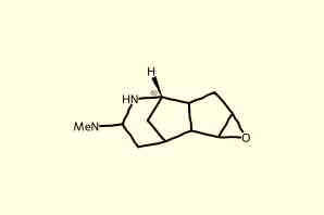 CNC1CC2C[C@H](N1)C1CC3OC3C21